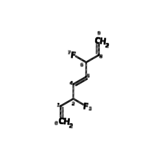 C=CC(F)C=CC(F)C=C